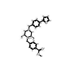 COC(=O)c1ccc(CN2[C@H](C)CN(Cc3ccc(-c4ccco4)cc3)C[C@@H]2C)cc1